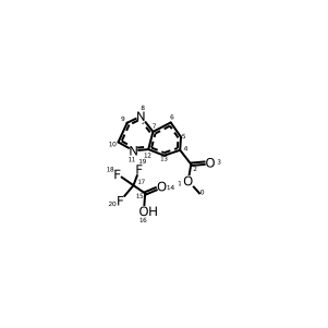 COC(=O)c1ccc2nccnc2c1.O=C(O)C(F)(F)F